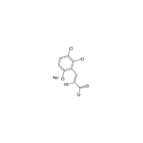 O=C([O-])C(S)=Cc1c(Cl)ccc(Cl)c1Cl.[Na+]